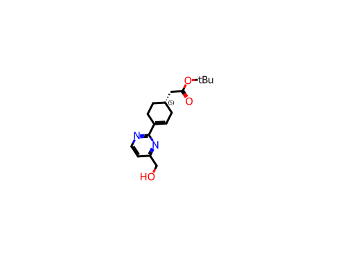 CC(C)(C)OC(=O)C[C@@H]1CC=C(c2nccc(CO)n2)CC1